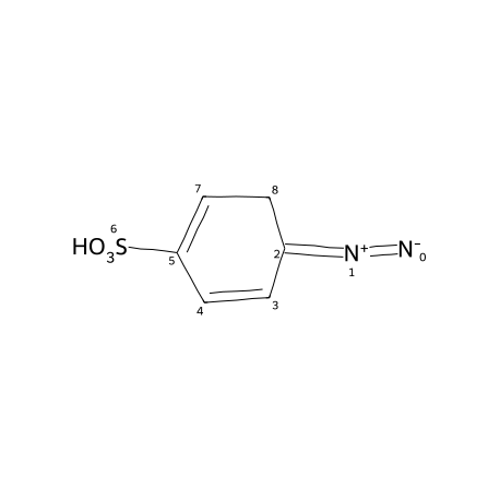 [N-]=[N+]=C1C=CC(S(=O)(=O)O)=CC1